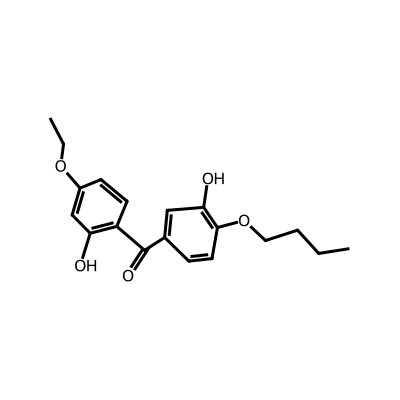 CCCCOc1ccc(C(=O)c2ccc(OCC)cc2O)cc1O